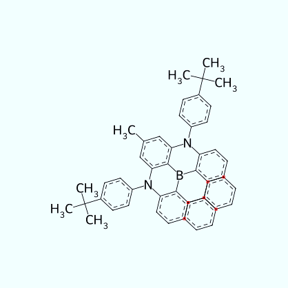 Cc1cc2c3c(c1)N(c1ccc(C(C)(C)C)cc1)c1cccc(-c4ccccc4)c1B3c1c(-c3ccccc3)cccc1N2c1ccc(C(C)(C)C)cc1